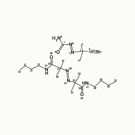 CC(C)(C#N)N=NC(N)=O.CCCCNC(=O)C(C)(C)N=NC(C)(C)C(=O)NCCCC